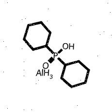 O=P(O)(C1CCCCC1)C1CCCCC1.[AlH3]